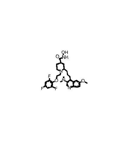 COc1ccc2ncc(N(C)C)c(CCCC3CC(C(=O)NO)CCN3CCOc3c(F)cc(F)cc3F)c2c1